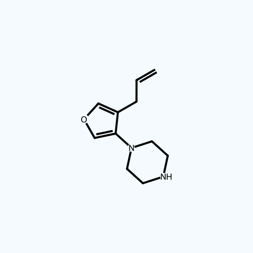 C=CCc1cocc1N1CCNCC1